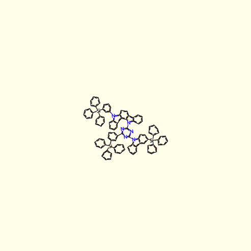 c1ccc([Si](c2ccccc2)(c2ccccc2)c2cccc(-c3nc(-n4c5ccccc5c5cc([Si](c6ccccc6)(c6ccccc6)c6ccccc6)ccc54)nc(-n4c5ccccc5c5ccc6c(c7ccccc7n6-c6cccc([Si](c7ccccc7)(c7ccccc7)c7ccccc7)c6)c54)n3)c2)cc1